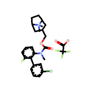 CN(C(=O)OCC1CC2CCC(C1)[N+]2(C)C)c1cccc(F)c1-c1cccc(Cl)c1.O=C([O-])C(F)(F)F